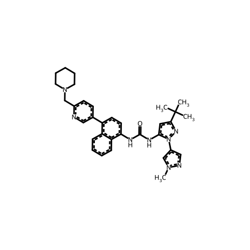 Cn1cc(-n2nc(C(C)(C)C)cc2NC(=O)Nc2ccc(-c3ccc(CN4CCCCC4)nc3)c3ccccc23)cn1